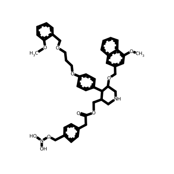 COc1ccccc1COCCCOc1ccc(C2C(COC(=O)Cc3ccc(CON(O)O)cc3)CNCC2OCc2cc(OC)c3ccccc3c2)cc1